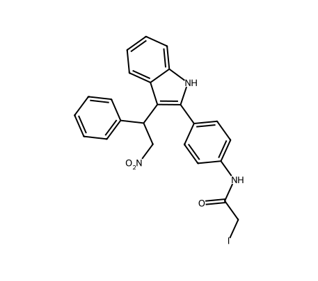 O=C(CI)Nc1ccc(-c2[nH]c3ccccc3c2C(C[N+](=O)[O-])c2ccccc2)cc1